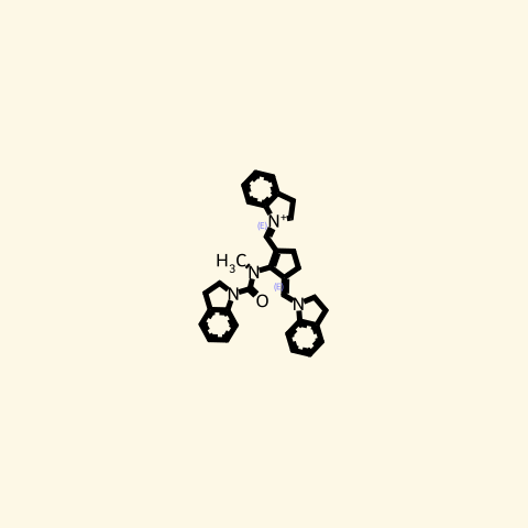 CN(C(=O)N1CCc2ccccc21)C1=C(/C=[N+]2\CCc3ccccc32)CC/C1=C\N1CCc2ccccc21